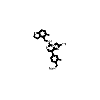 CNCc1ccc(-c2cnc(NCc3c(F)ccc4c3CCO4)n3cc(C#N)nc23)cc1F